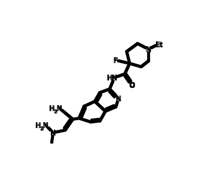 CCN1CCC(F)(C(=O)Nc2cc3cc(/C(N)=C/N(C)N)ccc3cn2)CC1